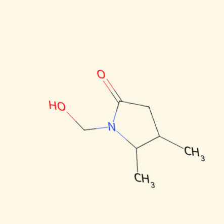 CC1CC(=O)N(CO)C1C